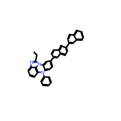 CCc1nc2cccc3c2n1-c1cc(-c2ccc4cc(-c5ccc6ccccc6c5)ccc4c2)ccc1N3c1ccccc1